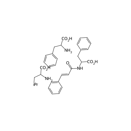 CC(C)CC(N)C(=O)O.NC(Cc1ccccc1)C(=O)O.O=C(C=Cc1ccccc1)NC(Cc1ccccc1)C(=O)O